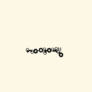 O=C(O[C@H]1CC[C@H](c2ccc(OCC3CO3)cc2)CC1)c1ccc(OCC(O)COc2ccccc2)cc1